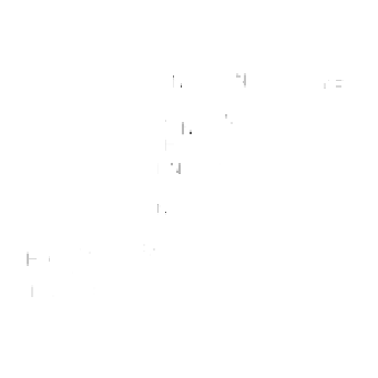 CC1(C)OC[C@@H](COc2cccc(NC(=O)N3c4nc(-c5cccc(C(F)(F)F)c5)ncc4N4CCC[C@H]3C4)n2)O1